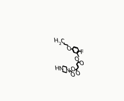 C=CCOc1ccc(F)c(COC(=O)/C=C/C(=O)OC(=O)N2CCNCC2)c1